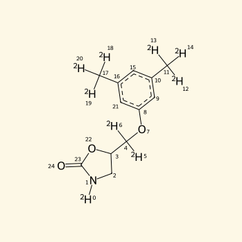 [2H]N1CC(C([2H])([2H])Oc2cc(C([2H])([2H])[2H])cc(C([2H])([2H])[2H])c2)OC1=O